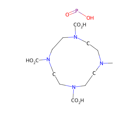 CN1CCN(C(=O)O)CCN(C(=O)O)CCN(C(=O)O)CC1.O=PO